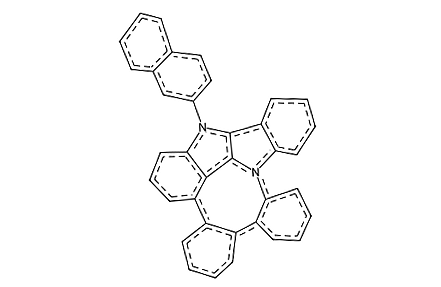 c1ccc2cc(-n3c4cccc5c6ccccc6c6ccccc6n6c7ccccc7c3c6c54)ccc2c1